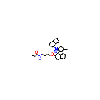 C=CC(=O)NCCCCOC1C=Cc2ccccc2C1(N=Nc1cccc2ccccc12)c1cc(C)ccc1C